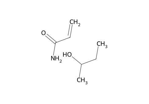 C=CC(N)=O.CCC(C)O